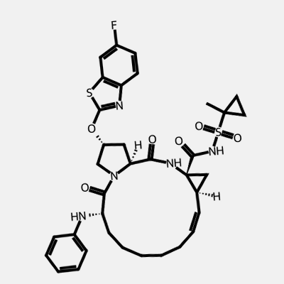 CC1(S(=O)(=O)NC(=O)[C@@]23C[C@H]2/C=C\CCCCC[C@H](Nc2ccccc2)C(=O)N2C[C@H](Oc4nc5ccc(F)cc5s4)C[C@H]2C(=O)N3)CC1